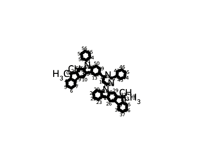 CC1(C)c2ccccc2-c2cc3c4cc(-c5cc(-n6c7ccccc7c7cc8c(cc76)C(C)(C)c6ccccc6-8)nc(-c6ccccc6)n5)ccc4n(-c4ccccc4)c3cc21